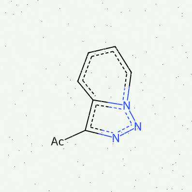 CC(=O)c1nnn2ccccc12